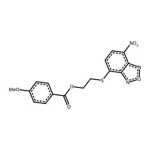 COc1ccc(C(=O)OCCSc2ccc([N+](=O)[O-])c3nonc23)cc1